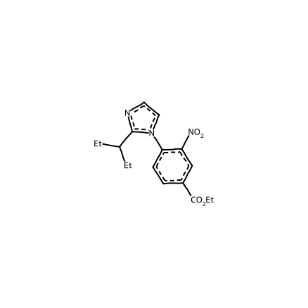 CCOC(=O)c1ccc(-n2ccnc2C(CC)CC)c([N+](=O)[O-])c1